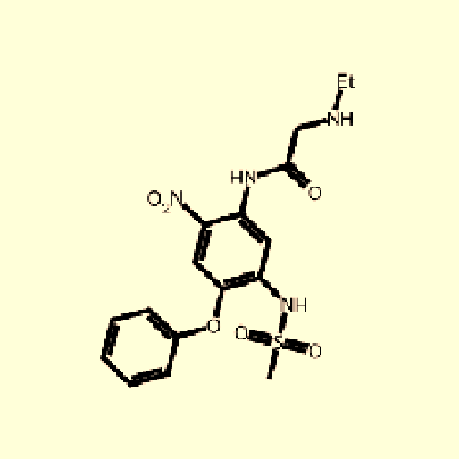 CCNCC(=O)Nc1cc(NS(C)(=O)=O)c(Oc2ccccc2)cc1[N+](=O)[O-]